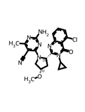 CO[C@H]1C[C@@H](c2nc3cccc(Cl)c3c(=O)n2C2CC2)N(c2nc(N)nc(C)c2C#N)C1